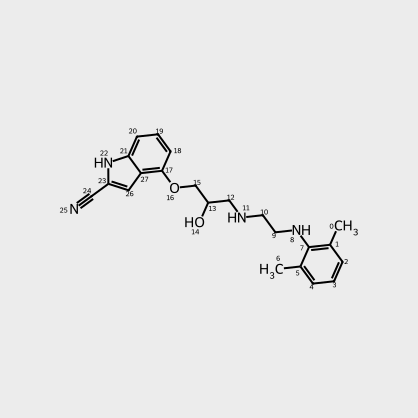 Cc1cccc(C)c1NCCNCC(O)COc1cccc2[nH]c(C#N)cc12